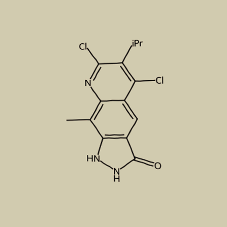 Cc1c2nc(Cl)c(C(C)C)c(Cl)c2cc2c(=O)[nH][nH]c12